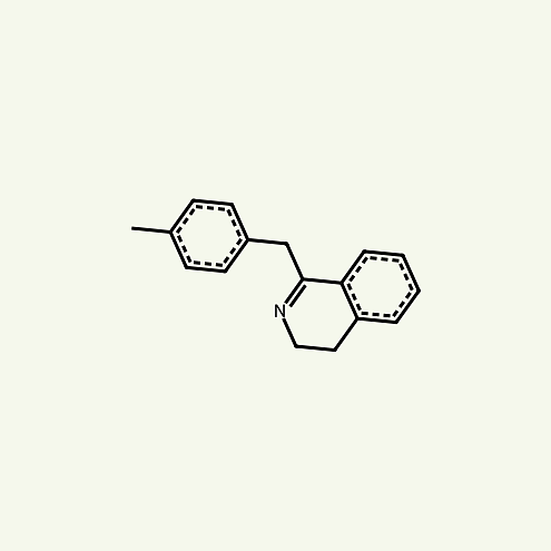 Cc1ccc(CC2=NCCc3ccccc32)cc1